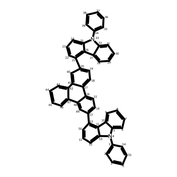 c1ccc(-n2c3ccccc3c3c(-c4ccc5c6ccc(-c7cccc8c7c7ccccc7n8-c7ccccc7)cc6c6ccccc6c5c4)cccc32)cc1